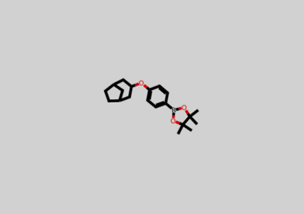 CC1(C)OB(c2ccc(OC3CC4CCC(C4)C3)cc2)OC1(C)C